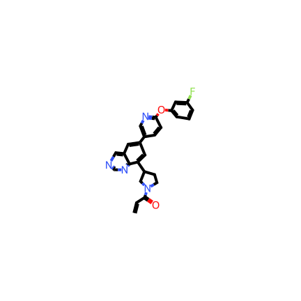 C=CC(=O)N1CCC(c2cc(-c3ccc(Oc4cccc(F)c4)nc3)cc3cncnc23)C1